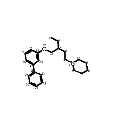 CCC(CCN1CCCCC1)COc1cccc(-c2ccccc2)c1